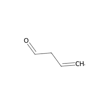 [CH]=CCC=O